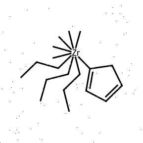 CC[CH2][Zr]([CH3])([CH3])([CH3])([CH3])([CH3])([CH2]CC)([CH2]CC)[C]1=CC=CC1